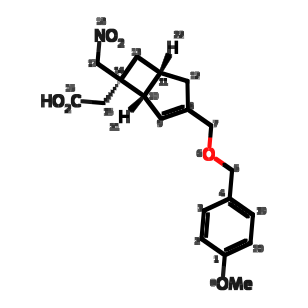 COc1ccc(COCC2=C[C@H]3[C@@H](C2)C[C@]3(CC(=O)O)C[N+](=O)[O-])cc1